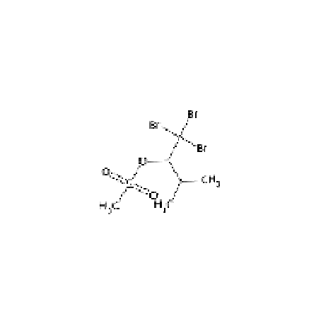 CC(C)C(OS(C)(=O)=O)C(Br)(Br)Br